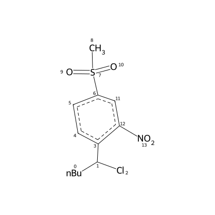 CCCCC(Cl)c1ccc(S(C)(=O)=O)cc1[N+](=O)[O-]